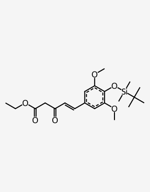 CCOC(=O)CC(=O)C=Cc1cc(OC)c(O[Si](C)(C)C(C)(C)C)c(OC)c1